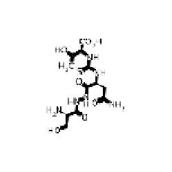 CC(O)[C@H](NC(=S)N[C@@H](CC(N)=O)C(=O)NNC(=O)[C@@H](N)CO)C(=O)O